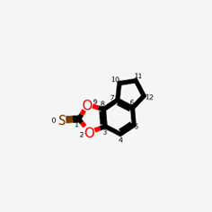 S=c1oc2ccc3c(c2o1)CCC3